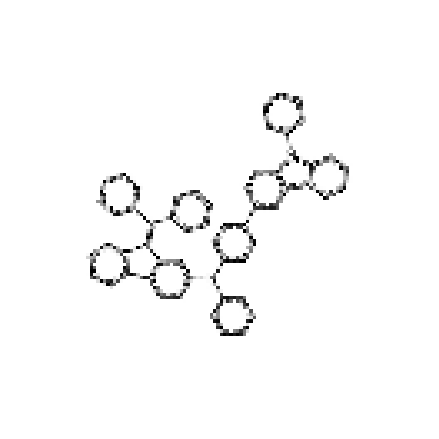 c1ccc(C(=C2c3ccccc3-c3ccc(N(c4ccccc4)c4ccc(-c5ccc6c(c5)c5ccccc5n6-c5ccccc5)cc4)cc32)c2ccccc2)cc1